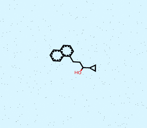 OC(CCc1cccc2ccccc12)C1CC1